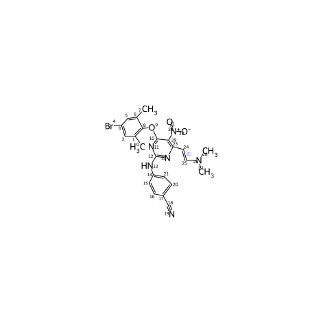 Cc1cc(Br)cc(C)c1Oc1nc(Nc2ccc(C#N)cc2)nc(/C=C/N(C)C)c1[N+](=O)[O-]